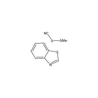 CSSC#N.c1ccc2scnc2c1